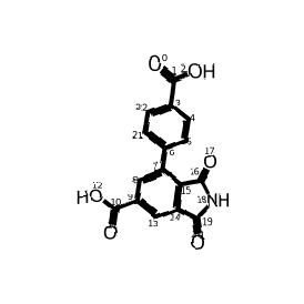 O=C(O)c1ccc(-c2cc(C(=O)O)cc3c2C(=O)NC3=O)cc1